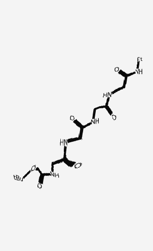 CCNC(=O)CNC(=O)CNC(=O)CNC(=O)CNC(=O)OC(C)(C)C